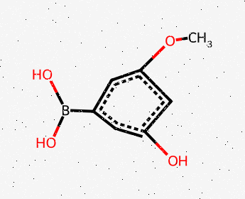 COc1cc(O)cc(B(O)O)c1